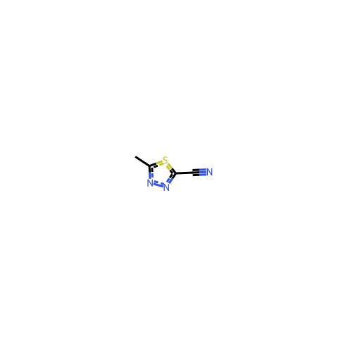 Cc1nnc(C#N)s1